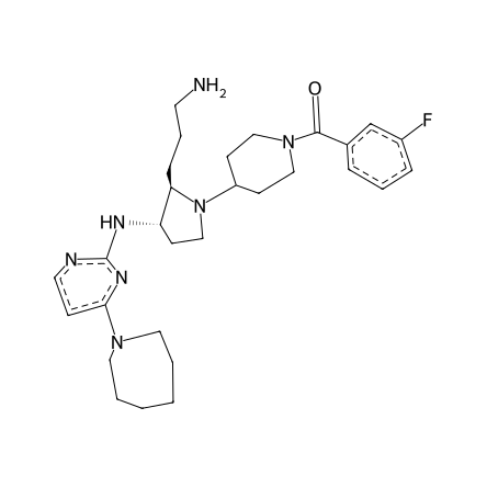 NCCC[C@@H]1[C@@H](Nc2nccc(N3CCCCCC3)n2)CCN1C1CCN(C(=O)c2cccc(F)c2)CC1